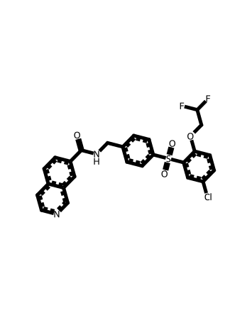 O=C(NCc1ccc(S(=O)(=O)c2cc(Cl)ccc2OCC(F)F)cc1)c1ccc2ccncc2c1